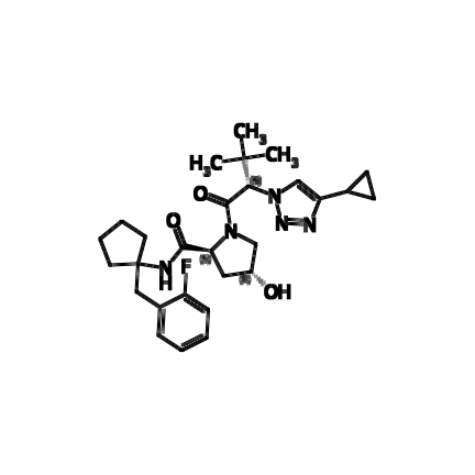 CC(C)(C)[C@@H](C(=O)N1C[C@H](O)C[C@H]1C(=O)NC1(Cc2ccccc2F)CCCC1)n1cc(C2CC2)nn1